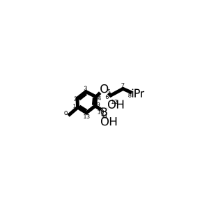 Cc1ccc(OCCC(C)C)c(B(O)O)c1